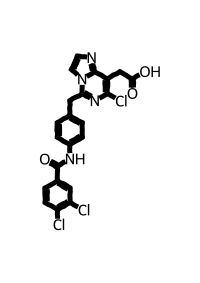 O=C(O)Cc1c(Cl)nc(Cc2ccc(NC(=O)c3ccc(Cl)c(Cl)c3)cc2)n2ccnc12